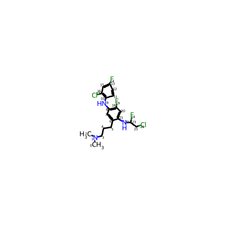 CN(C)CCCc1cc(Nc2ccc(F)cc2Cl)c(F)cc1NC(F)CCl